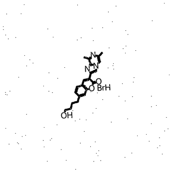 Br.Cc1cn2cc(-c3cc4ccc(CCCCO)cc4oc3=O)nc2c(C)n1